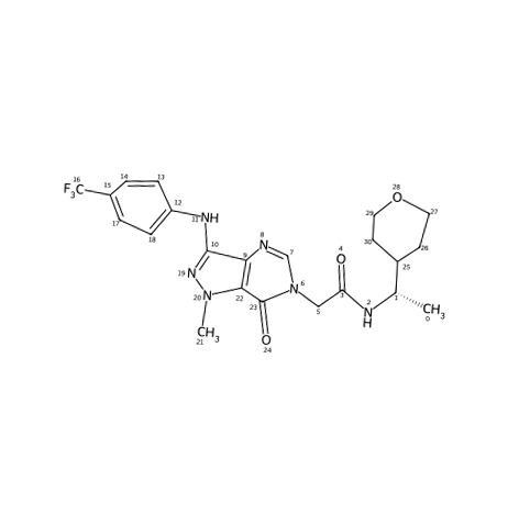 C[C@H](NC(=O)Cn1cnc2c(Nc3ccc(C(F)(F)F)cc3)nn(C)c2c1=O)C1CCOCC1